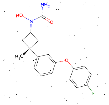 C[C@]1(c2cccc(Oc3ccc(F)cc3)c2)C[C@@H](N(O)C(N)=O)C1